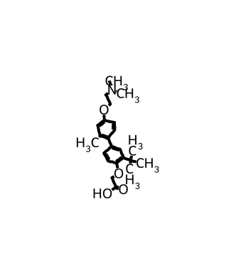 Cc1cc(OCCN(C)C)ccc1-c1ccc(OCC(=O)O)c(C(C)(C)C)c1